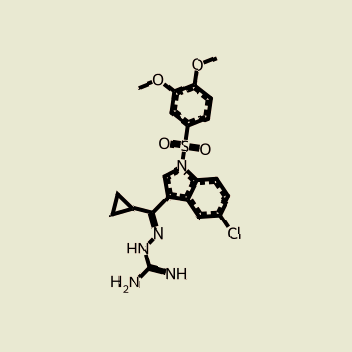 COc1ccc(S(=O)(=O)n2cc(C(=NNC(=N)N)C3CC3)c3cc(Cl)ccc32)cc1OC